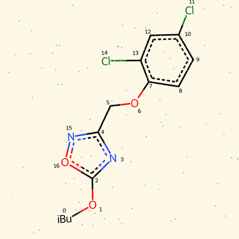 CCC(C)Oc1nc(COc2ccc(Cl)cc2Cl)no1